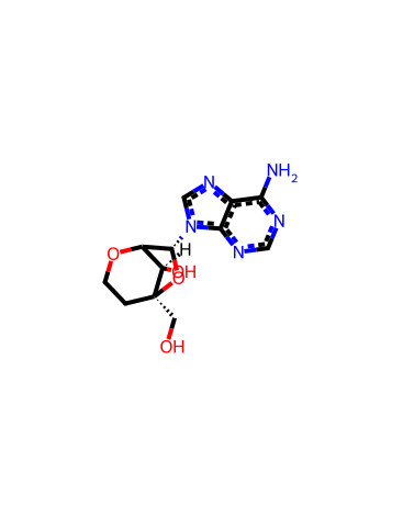 Nc1ncnc2c1ncn2[C@@H]1O[C@@]2(CO)CCOC1[C@H]2O